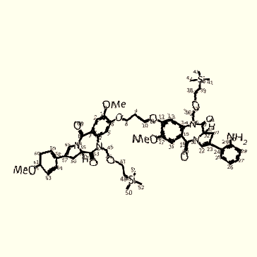 COc1cc2c(cc1OCCCOc1cc3c(cc1OC)C(=O)N1C=C(c4ccccc4N)C[C@H]1C(=O)N3COCC[Si](C)(C)C)N(COCC[Si](C)(C)C)C(=O)[C@@H]1CC(C3=CCC(OC)C=C3)=CN1C2=O